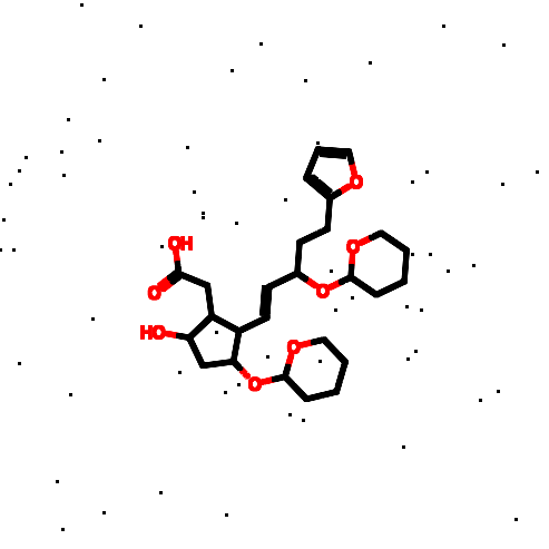 O=C(O)CC1C(O)CC(OC2CCCCO2)C1C=CC(CCc1ccco1)OC1CCCCO1